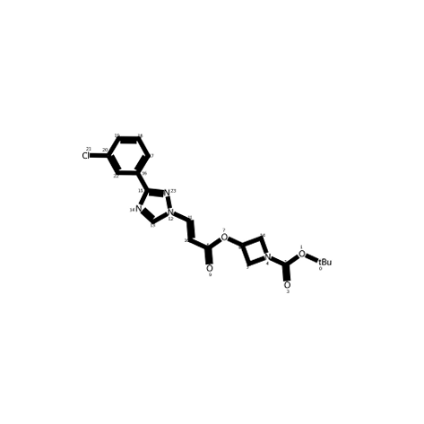 CC(C)(C)OC(=O)N1CC(OC(=O)C=Cn2cnc(-c3cccc(Cl)c3)n2)C1